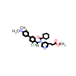 [2H]C(c1ccc(-c2ccc(N(C)C)cc2)cc1Cl)N(C(=O)C1CCCCC1)c1cncc(/C=C/C(=O)OC)c1